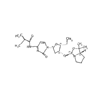 CC[C@H]1O[C@@H](n2ccc(NC(=O)C(C)C)nc2=O)C[C@H]1O[P@@]1OC(C)(C)[C@@H]2CCCN21